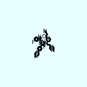 CN1CCN(CCN(c2nc(-c3cnc4ccc(F)cn34)nc(-c3ccc(N4CCN(C)CC4)cc3)c2F)[C@@H]2CCCN(C(=O)CC#N)C2)CC1